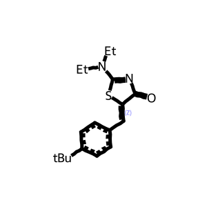 CCN(CC)C1=NC(=O)/C(=C/c2ccc(C(C)(C)C)cc2)S1